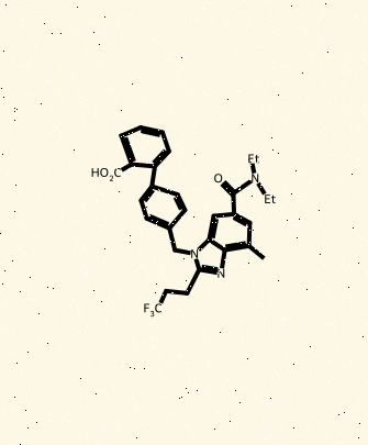 CCN(CC)C(=O)c1cc(C)c2nc(CCC(F)(F)F)n(Cc3ccc(-c4ccccc4C(=O)O)cc3)c2c1